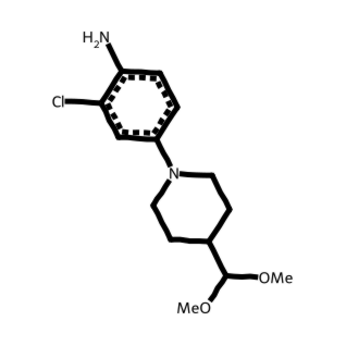 COC(OC)C1CCN(c2ccc(N)c(Cl)c2)CC1